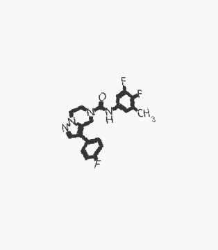 Cc1cc(NC(=O)N2CCn3ncc(-c4ccc(F)cc4)c3C2)cc(F)c1F